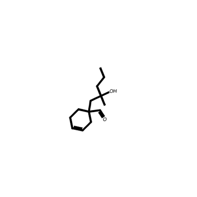 CCCC(C)(O)CC1(C=O)CC=CCC1